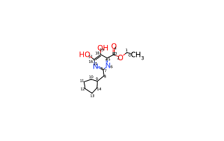 CCOC(=O)c1nc(CC2CCCCC2)nc(O)c1O